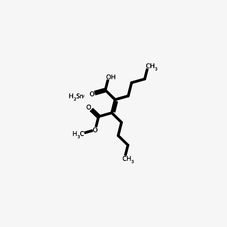 CCCC/C(C(=O)O)=C(\CCCC)C(=O)OC.[SnH2]